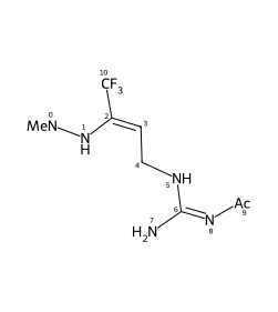 CNN/C(=C\CN/C(N)=N\C(C)=O)C(F)(F)F